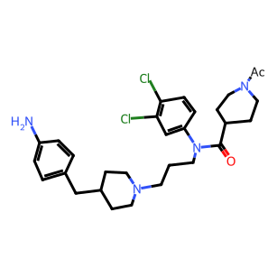 CC(=O)N1CCC(C(=O)N(CCCN2CCC(Cc3ccc(N)cc3)CC2)c2ccc(Cl)c(Cl)c2)CC1